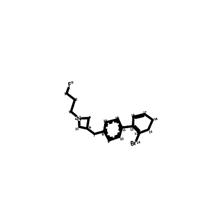 FCCCN1CC(Cc2ccc(C3=C(Br)CCC=C3)cc2)C1